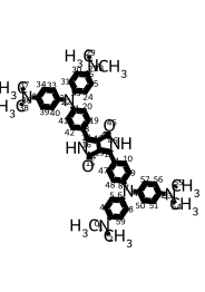 CN(C)c1ccc(N(c2ccc(C3=C4C(=O)NC(c5ccc(N(c6ccc(N(C)C)cc6)c6ccc(N(C)C)cc6)cc5)=C4C(=O)N3)cc2)c2ccc(N(C)C)cc2)cc1